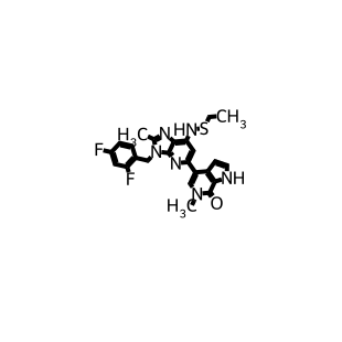 CCSNc1cc(-c2cn(C)c(=O)c3[nH]ccc23)nc2c1nc(C)n2Cc1ccc(F)cc1F